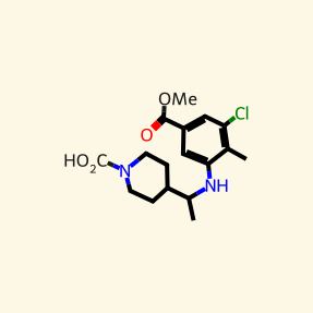 COC(=O)c1cc(Cl)c(C)c(NC(C)C2CCN(C(=O)O)CC2)c1